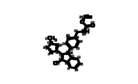 Cn1nnc(-c2c(Cl)c3ccccc3n2-c2ccc(CNC(=O)OC(C)(C)C)nc2)n1